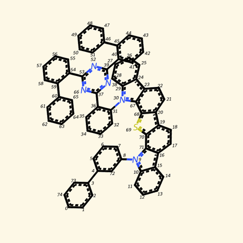 c1ccc(-c2cccc(-n3c4ccccc4c4ccc5c6ccc7c8ccccc8n(-c8ccccc8-c8nc(-c9ccccc9-c9ccccc9)nc(-c9ccccc9-c9ccccc9)n8)c7c6sc5c43)c2)cc1